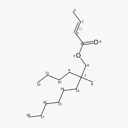 C/C=C/C(=O)OCC(C)(CCCC)CCCCCC